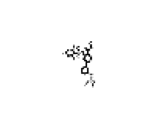 COC(OC)Oc1cccc(-c2ccc3c(C=O)nn(S(=O)(=O)c4c(C)cc(C)cc4C)c3c2)c1